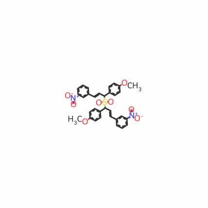 COc1ccc(C(C=Cc2cccc([N+](=O)[O-])c2)S(=O)(=O)C(C=Cc2cccc([N+](=O)[O-])c2)c2ccc(OC)cc2)cc1